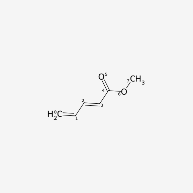 C=C/C=C/C(=O)OC